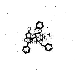 CNC(=O)[C@](Cc1ccccc1)(N1C(=O)CCC1=O)[C@@](C)(CNC(=O)c1ccccc1)COCc1ccccc1